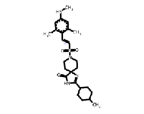 CNc1cc(C)c(/C=C/S(=O)(=O)N2CCC3(CC2)N=C(C2CCC(C)CC2)NC3=O)c(C)c1